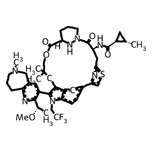 CO[C@@H](C)c1nc2c(cc1-c1c3c4cc(ccc4n1CC(F)(F)F)-c1csc(n1)C[C@H](NC(=O)[C@H]1C[C@@H]1C)C(=O)N1CCC[C@H](N1)C(=O)OCC(C)(C)C3)CN(C)CCC2